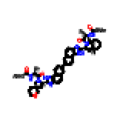 COC(=O)N[C@H](C(=O)N1C[C@]2(CCCOC2)C[C@H]1c1nc2ccc3cc(-c4ccc5c(ccc6nc([C@@H]7C[C@@H]8CCCC[C@@H]8N7C(=O)[C@@H](NC(=O)OC)C(C)C)[nH]c65)c4)ccc3c2[nH]1)C(C)C